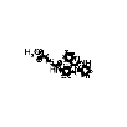 COC(=O)CCSCC(=O)Nc1ccc(CN2c3ccccc3NC(=O)C2Cc2ccccc2)cc1